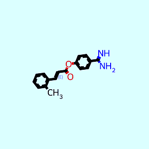 Cc1ccccc1/C=C/C(=O)Oc1ccc(C(=N)N)cc1